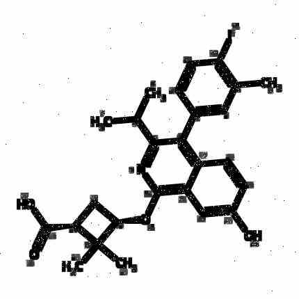 Cc1cc(-c2c(C(C)C)nc(O[C@@H]3C[C@H](C(=O)O)C3(C)C)c3cc(O)ccc23)ccc1F